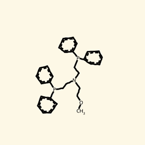 COCCN(CCP(c1ccccc1)c1ccccc1)CCP(c1ccccc1)c1ccccc1